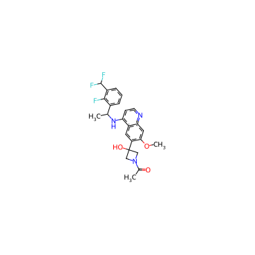 COc1cc2nccc(NC(C)c3cccc(C(F)F)c3F)c2cc1C1(O)CN(C(C)=O)C1